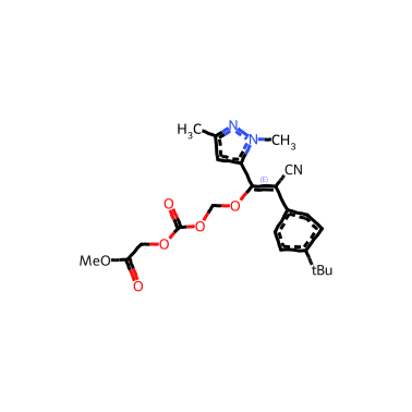 COC(=O)COC(=O)OCO/C(=C(/C#N)c1ccc(C(C)(C)C)cc1)c1cc(C)nn1C